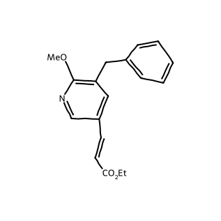 CCOC(=O)C=Cc1cnc(OC)c(Cc2ccccc2)c1